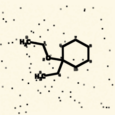 CCOC1(CC)CCCCC1